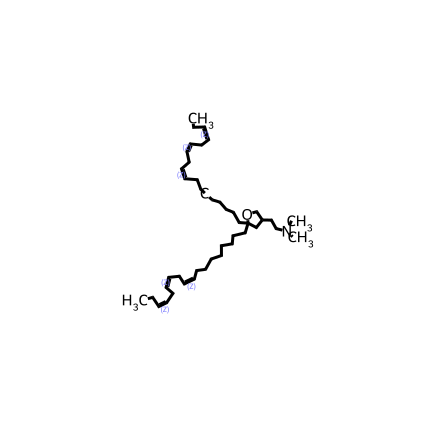 CC/C=C\C/C=C\C/C=C\CCCCCCCCC1(CCCCCCCC/C=C\C/C=C\C/C=C\CC)CC(CCN(C)C)CO1